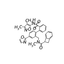 Cc1noc(NS(=O)(=O)c2ccccc2-c2ccc(-c3ncco3)cc2CN(C)C(=O)C2Cc3ccccc32)c1C